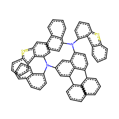 c1ccc(-c2ccc(N(c3cccc4ccccc34)c3cccc4sc5ccccc5c34)c3cc(N(c4cccc5ccccc45)c4cccc5sc6ccccc6c45)cc(-c4ccccc4)c23)cc1